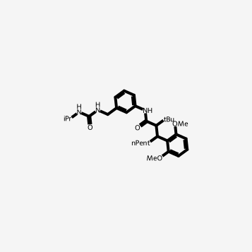 CCCCCC(c1c(OC)cccc1OC)C(C(=O)Nc1cccc(CNC(=O)NC(C)C)c1)C(C)(C)C